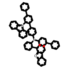 c1ccc(-c2ccc(N(c3ccc(-c4ccc(-c5ccccc5)cc4-n4c5ccccc5c5ccccc54)cc3)c3ccccc3-c3cccc4c3oc3ccccc34)cc2)cc1